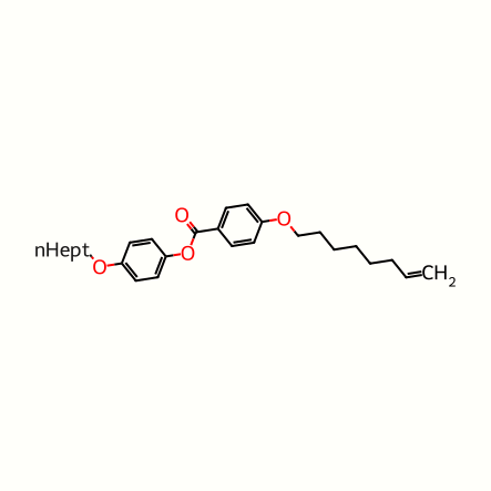 C=CCCCCCCOc1ccc(C(=O)Oc2ccc(OCCCCCCC)cc2)cc1